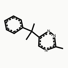 Cc1ncc(C(C)(C)c2ccccc2)nn1